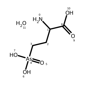 NC(CC[As](=O)(O)O)C(=O)O.O